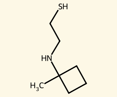 CC1(NCCS)CCC1